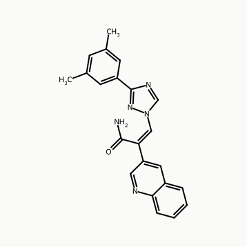 Cc1cc(C)cc(-c2ncn(C=C(C(N)=O)c3cnc4ccccc4c3)n2)c1